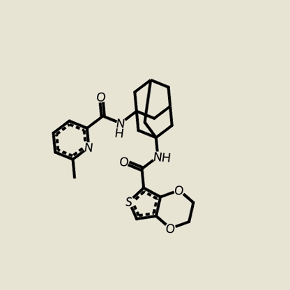 Cc1cccc(C(=O)NC23CC4CC(C2)CC(NC(=O)c2scc5c2OCCO5)(C4)C3)n1